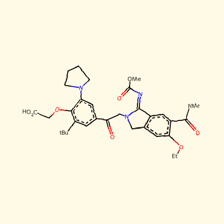 CCOc1cc2c(cc1C(=O)NC)C(=NC(=O)OC)N(CC(=O)c1cc(N3CCCC3)c(OCC(=O)O)c(C(C)(C)C)c1)C2